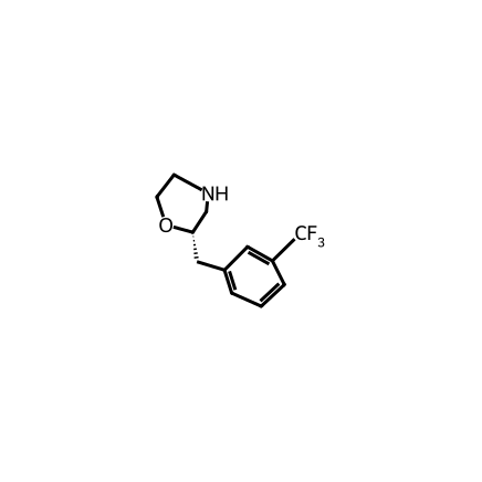 FC(F)(F)c1cccc(C[C@H]2CNCCO2)c1